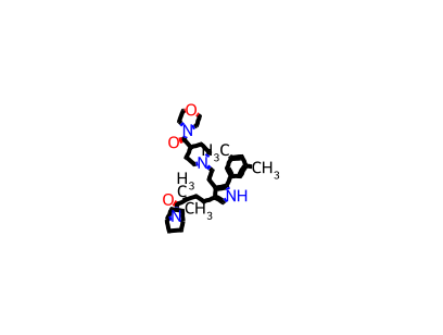 Cc1cc(C)cc(-c2[nH]cc(CCC(C)(C)C(=O)N3C4CCC3CC4)c2CCN2CCC(C(=O)N3CCOCC3)CC2)c1